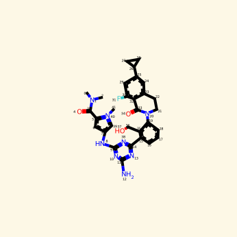 CN(C)C(=O)c1cc(Nc2nc(N)nc(-c3cccc(N4CCc5cc(C6CC6)cc(F)c5C4=O)c3CO)n2)cn1C